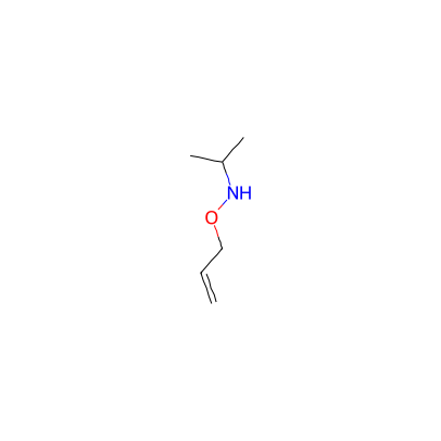 C=CCONC(C)C